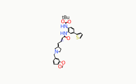 CC(C)(C)OC(=O)Nc1ccc(-c2cccs2)cc1NC(=O)/C=C/C=C1CCN(Cc2ccc3c(c2)OCO3)C1